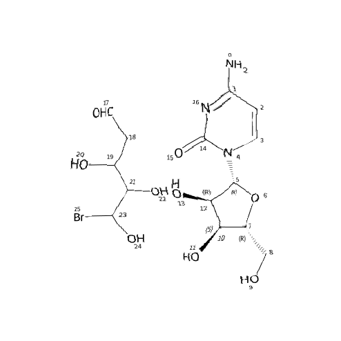 Nc1ccn([C@@H]2O[C@H](CO)[C@@H](O)[C@H]2O)c(=O)n1.O=CCC(O)C(O)C(O)Br